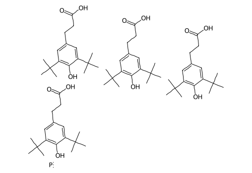 CC(C)(C)c1cc(CCC(=O)O)cc(C(C)(C)C)c1O.CC(C)(C)c1cc(CCC(=O)O)cc(C(C)(C)C)c1O.CC(C)(C)c1cc(CCC(=O)O)cc(C(C)(C)C)c1O.CC(C)(C)c1cc(CCC(=O)O)cc(C(C)(C)C)c1O.[P]